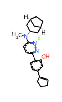 CN(c1ccc(-c2ccc(C3=CCCC3)cc2O)nn1)[C@@H]1C[C@H]2CC[C@H](C2)[C@@H]1F